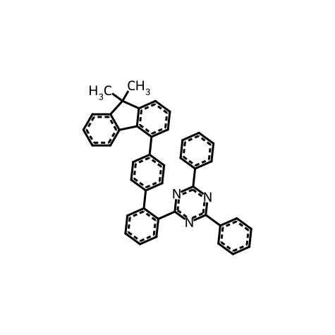 CC1(C)c2ccccc2-c2c(-c3ccc(-c4ccccc4-c4nc(-c5ccccc5)nc(-c5ccccc5)n4)cc3)cccc21